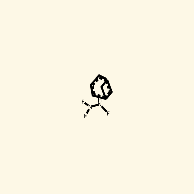 FNN(F)F.c1cc2cc(c1)C2